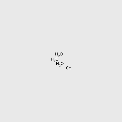 O.O.O.[Ce]